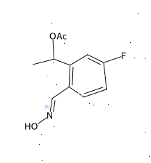 CC(=O)OC(C)c1cc(F)ccc1/C=N/O